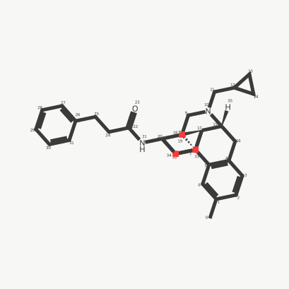 Cc1ccc2c(c1)[C@]13CCN(CC4CC4)[C@H](C2)[C@]12CCC(NC(=O)CCc1ccccc1)(CO2)C3